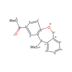 COC(=O)c1ccc2c(c1)C(SC)c1ccccc1CO2